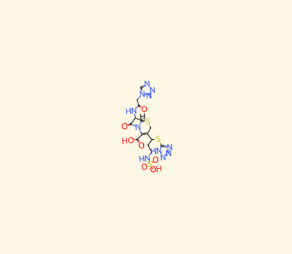 O=C(Cn1cnnn1)NC1C(=O)N2C(C(=O)O)=C(C(CCNS(=O)(=O)O)Sc3nnn[nH]3)CS[C@@H]12